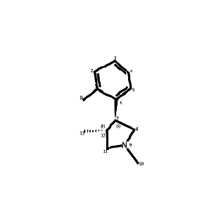 Cc1ccccc1[C@H]1CN(C)C[C@@H]1C